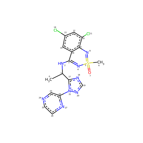 CC(NC1=NS(C)(=O)=Nc2c(Cl)cc(Cl)cc21)c1ncnn1-c1cnccn1